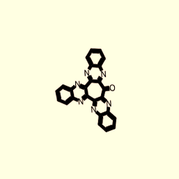 O=c1c2nc3ccccc3nc2c2nc3ccccc3nc2c2nc3ccccc3nc12